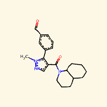 Cn1ncc(C(=O)N2CCCC3CCCCC32)c1-c1cccc(C=O)c1